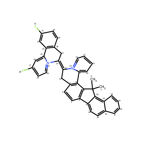 CC1(C)c2c(ccc3c2-c2cccc[n+]2/C(=C2\Cc4ccc(F)cc4-c4cc(F)cc[n+]42)C3)-c2ccc3ccccc3c21